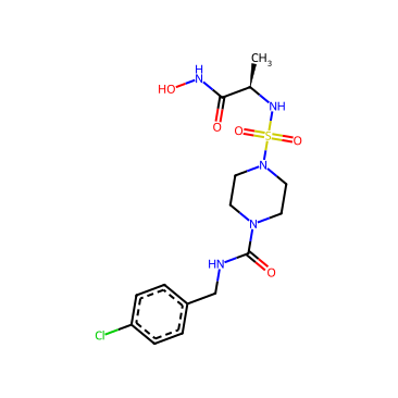 C[C@@H](NS(=O)(=O)N1CCN(C(=O)NCc2ccc(Cl)cc2)CC1)C(=O)NO